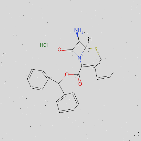 C/C=C\C1=C(C(=O)OC(c2ccccc2)c2ccccc2)N2C(=O)[C@@H](N)[C@H]2SC1.Cl